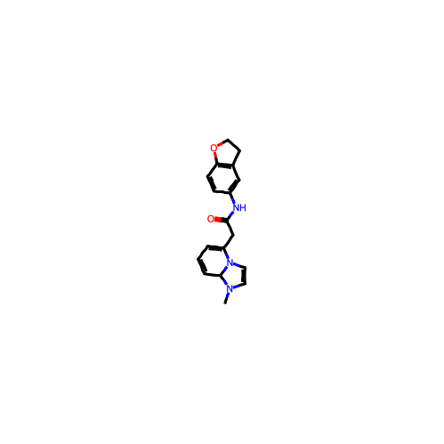 CN1C=CN2C(CC(=O)Nc3ccc4c(c3)CCO4)=CC=CC12